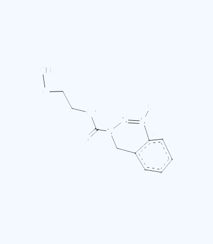 COCCOC(=O)N1Cc2ccccc2[N+]([O-])=N1